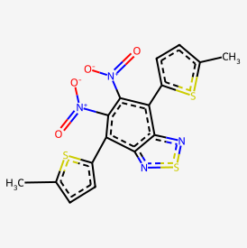 Cc1ccc(-c2c([N+](=O)[O-])c([N+](=O)[O-])c(-c3ccc(C)s3)c3nsnc23)s1